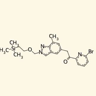 Cc1cc(CC(=O)c2cccc(Br)n2)cc2cn(COCC[Si](C)(C)C)nc12